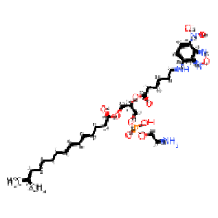 CC(C)CCCCCCCCCCCCC(=O)OC[C@H](COP(=O)(O)OCCN)OC(=O)CCCCCNc1ccc([N+](=O)[O-])c2nonc12